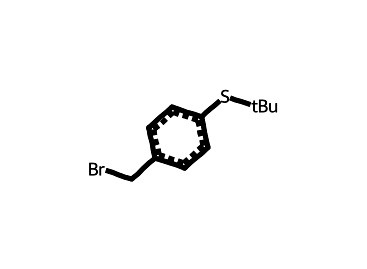 CC(C)(C)Sc1ccc(CBr)cc1